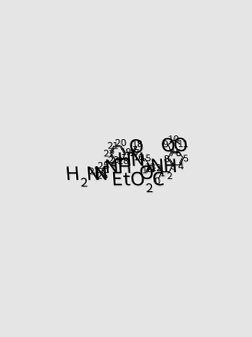 CCOC(=O)C(Cc1ccc2c(c1)OCO2)NC(=O)CNC(=O)c1cccc(NC=NN)c1